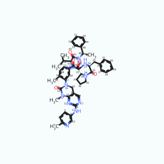 Cc1ccc(Nc2ncc3c(n2)N(C)C(=O)N(c2cc(C(=O)CN[C@@H](Cc4ccccc4)C(=O)N4CCC[C@@H]4C(=O)N[C@H](C(=O)N[C@H](C)c4ccccc4)C(C)C)ccc2C)C3)cn1